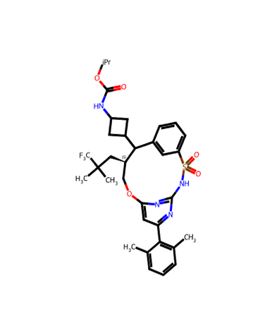 Cc1cccc(C)c1-c1cc2nc(n1)NS(=O)(=O)c1cccc(c1)C(C1CC(NC(=O)OC(C)C)C1)[C@H](CC(C)(C)C(F)(F)F)CO2